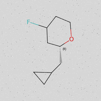 FC1CCO[C@H](CC2CC2)C1